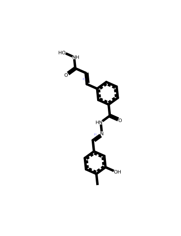 Cc1ccc(/C=N/NC(=O)c2cccc(/C=C/C(=O)NO)c2)cc1O